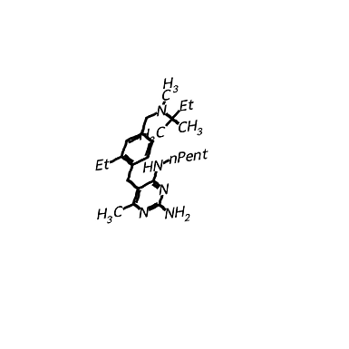 CCCCCNc1nc(N)nc(C)c1Cc1ccc(CN(C)C(C)(C)CC)cc1CC